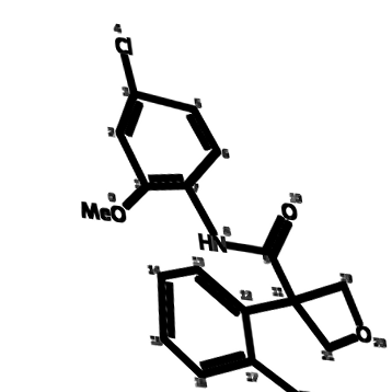 COc1cc(Cl)ccc1NC(=O)C1(c2ccccc2C(C)C)COC1